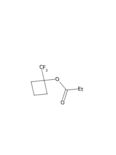 CCC(=O)OC1(C(F)(F)F)CCC1